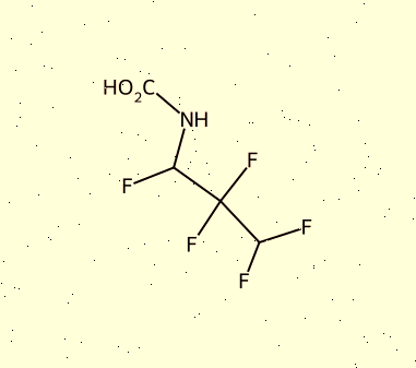 O=C(O)NC(F)C(F)(F)C(F)F